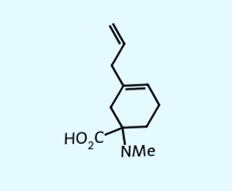 C=CCC1=CCCC(NC)(C(=O)O)C1